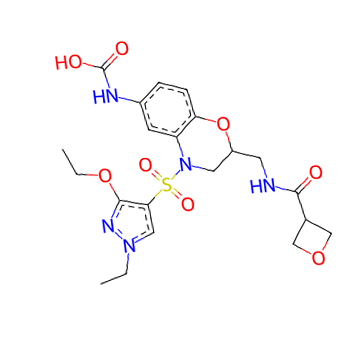 CCOc1nn(CC)cc1S(=O)(=O)N1CC(CNC(=O)C2COC2)Oc2ccc(NC(=O)O)cc21